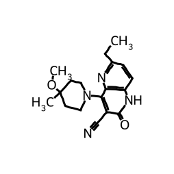 CCc1ccc2[nH]c(=O)c(C#N)c(N3CCC(C)(OC)CC3)c2n1